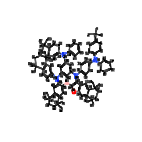 CC(C)(C)c1ccc(N(c2ccccc2)c2ccc(N3c4cc(N(c5ccccc5)c5ccc(C(C)(C)C)cc5)cc5c4B(c4cc6c(cc4N5c4ccc5c(c4)C(C)(C)CCC5(C)C)C(C)(C)CCC6(C)C)c4oc5cc6c(cc5c43)C(C)(C)CCC6(C)C)cc2)cc1